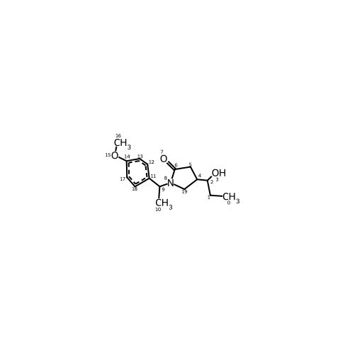 CCC(O)C1CC(=O)N(C(C)c2ccc(OC)cc2)C1